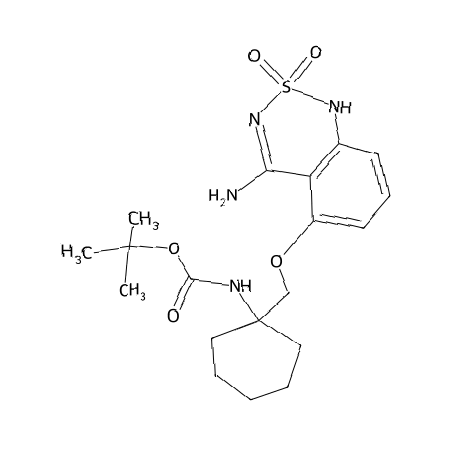 CC(C)(C)OC(=O)NC1(COc2cccc3c2C(N)=NS(=O)(=O)N3)CCCCC1